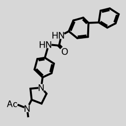 CC(=O)N(C)C1CCN(c2ccc(NC(=O)Nc3ccc(-c4ccccc4)cc3)cc2)C1